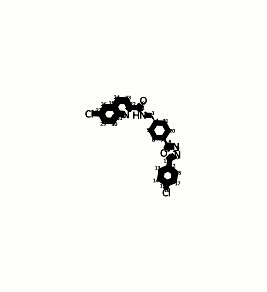 O=C(NC[C@H]1CC[C@H](c2nnc(-c3ccc(Cl)cc3)o2)CC1)c1ccc2cc(Cl)ccc2n1